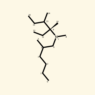 CCCCC(C)CN(C)[C@](C)(CC)C(C)CC